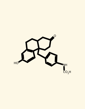 O=C1CCC2(Cc3ccc(NC(=O)O)cc3)c3ccc(O)cc3CCC2C1